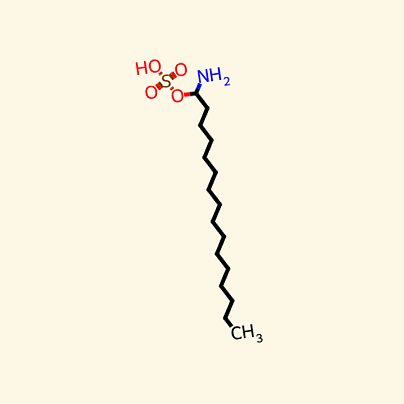 CCCCCCCCCCCCCCCC(N)OS(=O)(=O)O